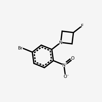 O=[N+]([O-])c1ccc(Br)cc1N1CC(F)C1